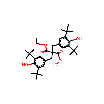 CCOC(=O)C(Cc1cc(C(C)(C)C)c(O)c(C(C)(C)C)c1)(Cc1cc(C(C)(C)C)c(O)c(C(C)(C)C)c1)C(=O)OS